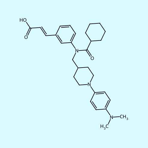 CN(C)c1ccc(N2CCC(CN(C(=O)C3CCCCC3)c3cccc(C=CC(=O)O)c3)CC2)cc1